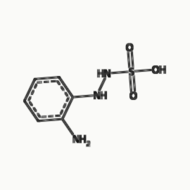 Nc1ccccc1NNS(=O)(=O)O